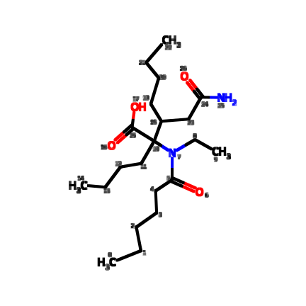 CCCCCC(=O)N(CC)C(CCCC)(C(=O)O)C(CCCC)CC(N)=O